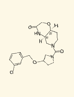 O=C1CO[C@H]2CCN(C(=O)N3CCC(OCc4cccc(Cl)c4)C3)C[C@H]2N1